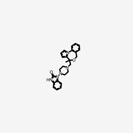 CC1(CN2CCN(n3c(=O)[nH]c4ccccc43)CC2)OCc2ccccc2-n2cccc21